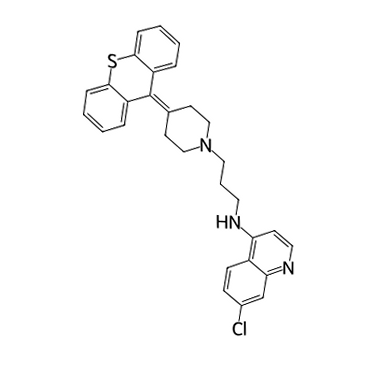 Clc1ccc2c(NCCCN3CCC(=C4c5ccccc5Sc5ccccc54)CC3)ccnc2c1